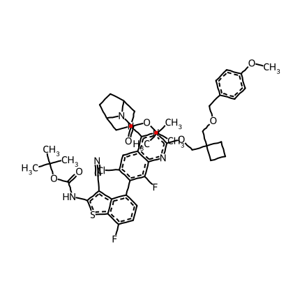 COc1ccc(COCC2(COc3nc(N4CC5CCC(C4)N5C(=O)OC(C)(C)C)c4cc(Cl)c(-c5ccc(F)c6sc(NC(=O)OC(C)(C)C)c(C#N)c56)c(F)c4n3)CCC2)cc1